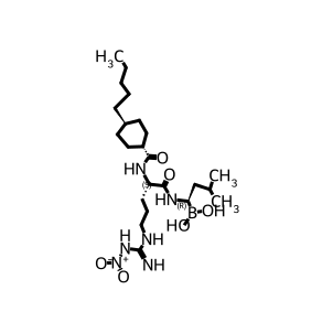 CCCCC[C@H]1CC[C@H](C(=O)N[C@@H](CCCNC(=N)N[N+](=O)[O-])C(=O)N[C@@H](CC(C)C)B(O)O)CC1